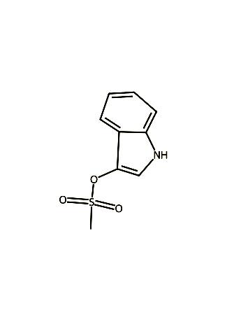 CS(=O)(=O)Oc1c[nH]c2ccccc12